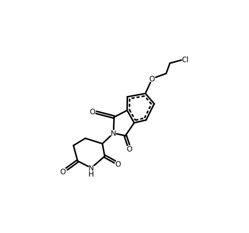 O=C1CCC(N2C(=O)c3ccc(OCCCl)cc3C2=O)C(=O)N1